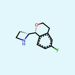 Fc1ccc2c(c1)CCO[C@H]2[C@H]1CCN1